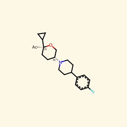 CC(=O)[C@@]1(C2CC2)CC[C@@H](N2CCC(c3ccc(F)cc3)CC2)CO1